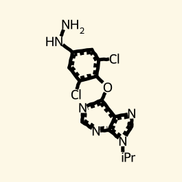 CC(C)n1cnc2c(Oc3c(Cl)cc(NN)cc3Cl)ncnc21